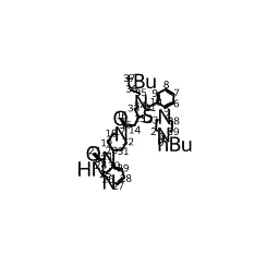 CCCCN1CCN(c2ccccc2C2SC(CC(=O)N3CCC(n4c(=O)[nH]c5ncccc54)CC3)CN2CCC(C)(C)C)CC1